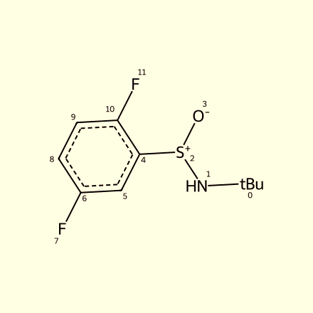 CC(C)(C)N[S+]([O-])c1cc(F)ccc1F